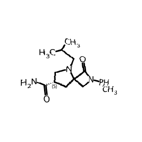 CPN1CC2(C[C@H](C(N)=O)CN2CC(C)C)C1=O